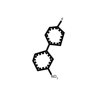 O=[N+]([O-])c1cccc(-c2ccc(F)cc2)c1